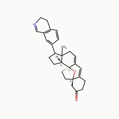 CC12CC=C3C=C4CCC(=O)C[C@]45CC[C@]3(O5)[C@@H]1CCC2c1ccc2c(c1)C=NCC2